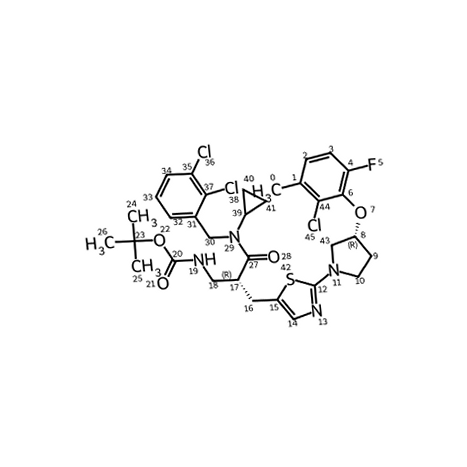 Cc1ccc(F)c(O[C@@H]2CCN(c3ncc(C[C@H](CNC(=O)OC(C)(C)C)C(=O)N(Cc4cccc(Cl)c4Cl)C4CC4)s3)C2)c1Cl